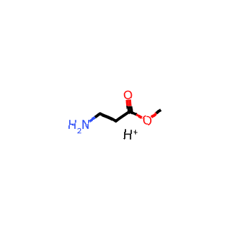 COC(=O)CCN.[H+]